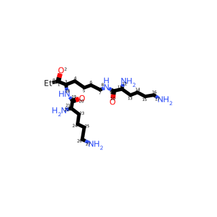 CCC(=O)C(CCCCNC(=O)C(N)CCCCN)NC(=O)C(N)CCCCN